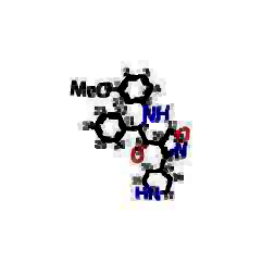 COc1cccc(NC(C(=O)c2conc2C2CCNCC2)c2ccccc2)c1